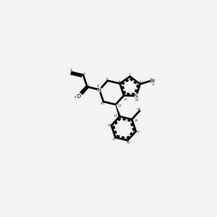 C=CC(=O)N1Cc2cc(Br)sc2[C@@H](c2ccccc2C)C1